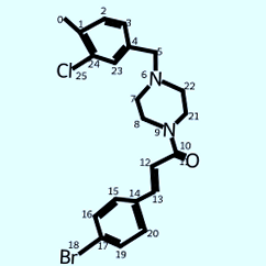 Cc1ccc(CN2CCN(C(=O)/C=C/c3ccc(Br)cc3)CC2)cc1Cl